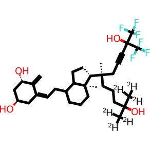 [2H]C([2H])([2H])C(O)(CCC[C@](C)(CC#CC(O)(C(F)(F)F)C(F)(F)F)[C@H]1CCC2C(C/C=C3/C[C@@H](O)C[C@H](O)C3=C)CCC[C@@]21C)C([2H])([2H])[2H]